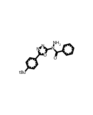 CC(C)(C)c1ccc(-c2nnc(N(N)C(=O)c3ccccc3)o2)cc1